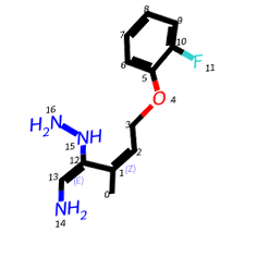 CC(=C/COc1ccccc1F)/C(=C\N)NN